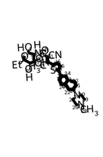 CC[C@H]1OC(O)[C@H](NS(=O)(=O)/C(C#N)=C(\C)c2ccc(-c3ccc4cc(N5CCN(C)CC5)ccc4c3)s2)[C@@H](O)[C@@H]1O